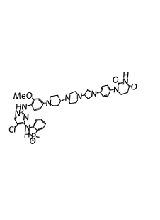 COc1cc(N2CCC(N3CCN(C4CN(c5ccc(N6CCC(=O)NC6=O)cc5)C4)CC3)CC2)ccc1Nc1ncc(Cl)c(Nc2ccccc2P(C)(C)=O)n1